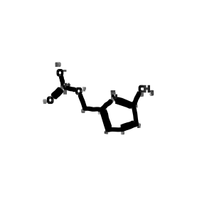 Cc1cccc(CO[N+](=O)[O-])n1